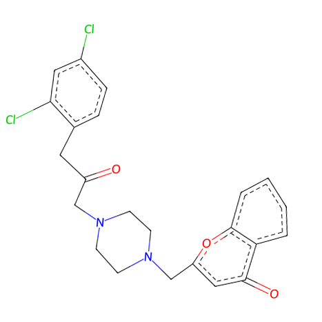 O=C(Cc1ccc(Cl)cc1Cl)CN1CCN(Cc2cc(=O)c3ccccc3o2)CC1